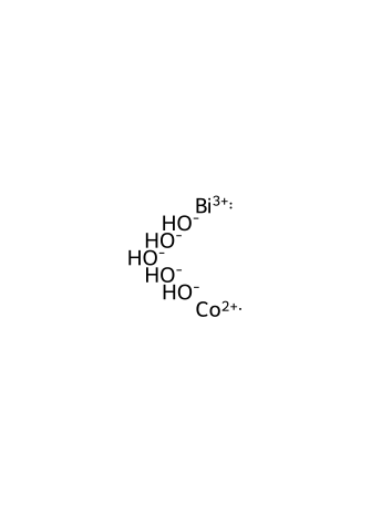 [Bi+3].[Co+2].[OH-].[OH-].[OH-].[OH-].[OH-]